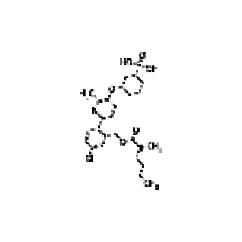 CCCCN(C)C(=O)OCc1cc(Cl)ccc1-c1ccc(OC2CCCC(P(=O)(O)O)C2)c(C)n1